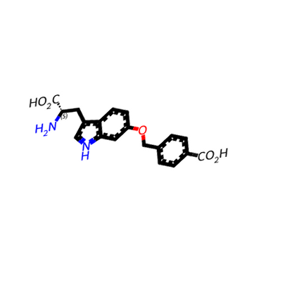 N[C@@H](Cc1c[nH]c2cc(OCc3ccc(C(=O)O)cc3)ccc12)C(=O)O